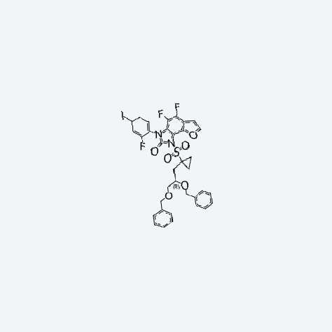 O=c1n(C2=CCC(I)C=C2F)c2c(F)c(F)c3ccoc3c2n1S(=O)(=O)C1(C[C@H](COCc2ccccc2)OCc2ccccc2)CC1